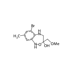 COCC1(O)CNc2c(Br)cc(C)cc2NO1